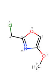 COc1coc(CCl)n1